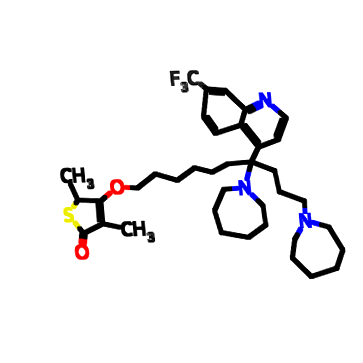 CC1=C(OCCCCCCC(CCCN2CCCCCC2)(c2ccnc3cc(C(F)(F)F)ccc23)N2CCCCCC2)C(C)SC1=O